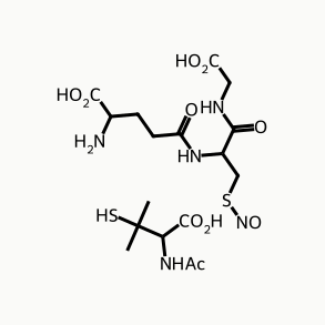 CC(=O)NC(C(=O)O)C(C)(C)S.NC(CCC(=O)NC(CSN=O)C(=O)NCC(=O)O)C(=O)O